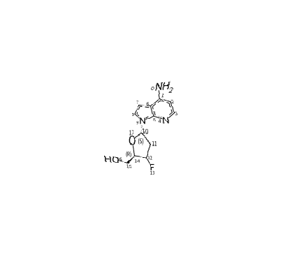 Nc1ccnc2c1ccn2[C@@H]1CC(F)[C@@H](CO)O1